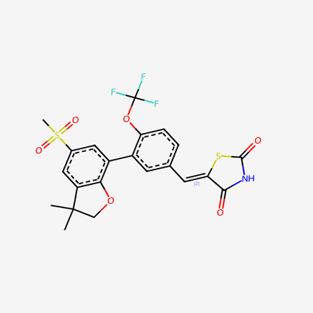 CC1(C)COc2c(-c3cc(/C=C4\SC(=O)NC4=O)ccc3OC(F)(F)F)cc(S(C)(=O)=O)cc21